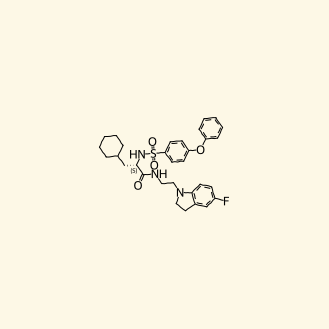 O=C(NCCN1CCc2cc(F)ccc21)[C@H](CC1CCCCC1)NS(=O)(=O)c1ccc(Oc2ccccc2)cc1